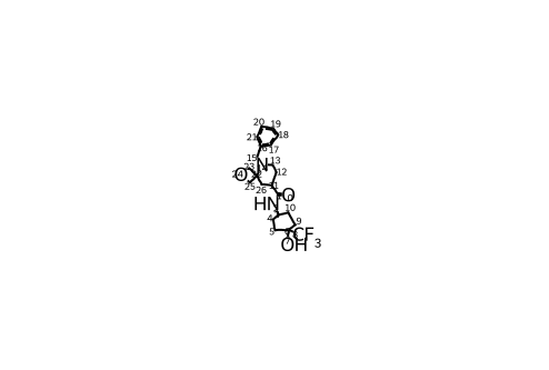 O=C(NC1CCC(O)(C(F)(F)F)CC1)C1CCN(Cc2ccccc2)C2(COC2)C1